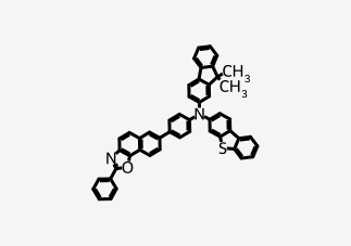 CC1(C)c2ccccc2-c2ccc(N(c3ccc(-c4ccc5c(ccc6nc(-c7ccccc7)oc65)c4)cc3)c3ccc4c(c3)sc3ccccc34)cc21